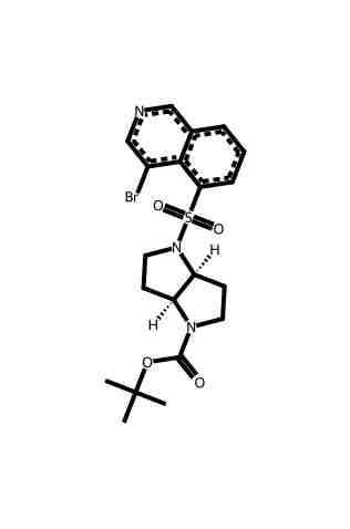 CC(C)(C)OC(=O)N1CC[C@H]2[C@@H]1CCN2S(=O)(=O)c1cccc2cncc(Br)c12